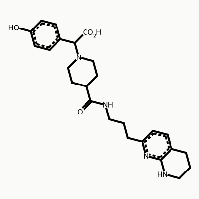 O=C(NCCCc1ccc2c(n1)NCCC2)C1CCN(C(C(=O)O)c2ccc(O)cc2)CC1